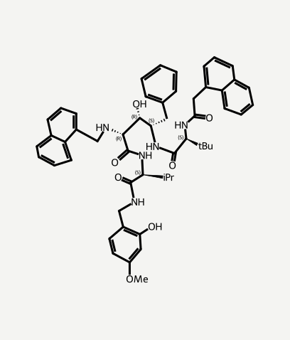 COc1ccc(CNC(=O)[C@@H](NC(=O)[C@H](NCc2cccc3ccccc23)[C@H](O)[C@H](Cc2ccccc2)NC(=O)[C@@H](NC(=O)Cc2cccc3ccccc23)C(C)(C)C)C(C)C)c(O)c1